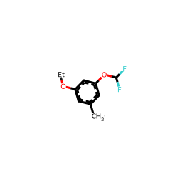 [CH2]c1cc(OCC)cc(OC(F)F)c1